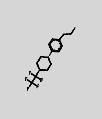 CCCc1ccc([C@H]2CC[C@H](C(F)(F)C(F)(F)F)CC2)cc1